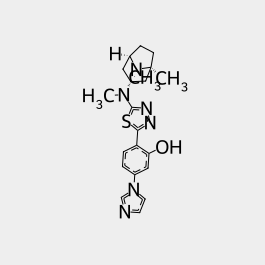 CN(c1nnc(-c2ccc(-n3ccnc3)cc2O)s1)[C@@H]1C[C@H]2CC[C@@](C)(C1)N2C